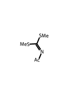 CSC(=NC(C)=O)SC